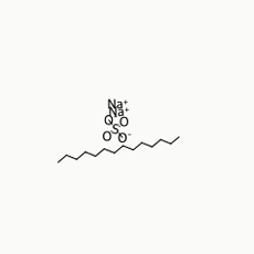 CCCCCCCCCCCCCC.O=S(=O)([O-])[O-].[Na+].[Na+]